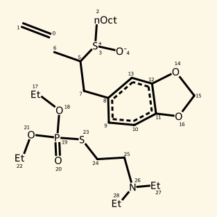 C=C.CCCCCCCC[S+]([O-])C(C)Cc1ccc2c(c1)OCO2.CCOP(=O)(OCC)SCCN(CC)CC